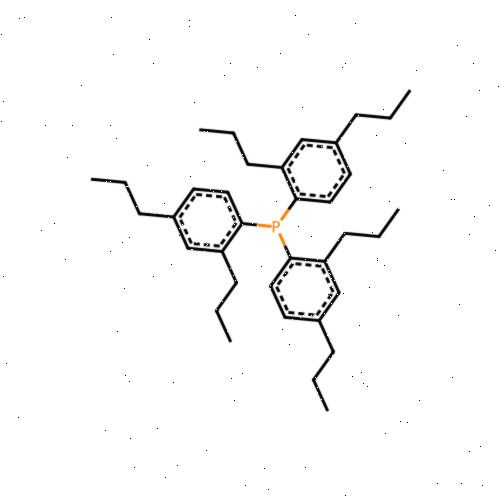 CCCc1ccc(P(c2ccc(CCC)cc2CCC)c2ccc(CCC)cc2CCC)c(CCC)c1